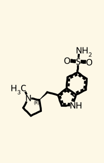 CN1CCC[C@@H]1Cc1c[nH]c2ccc(S(N)(=O)=O)cc12